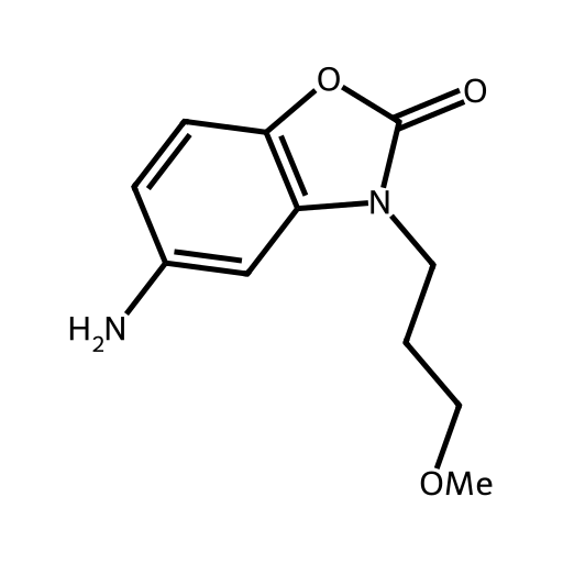 COCCCn1c(=O)oc2ccc(N)cc21